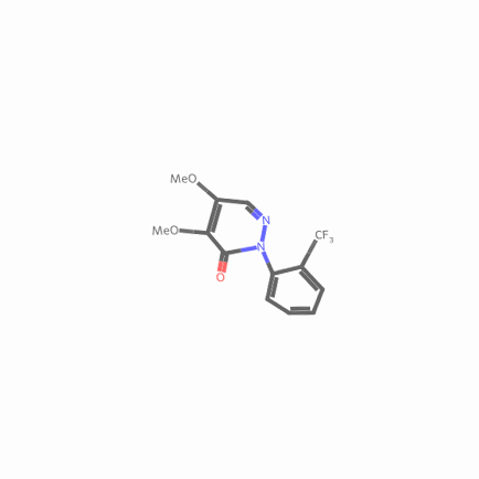 COc1cnn(-c2ccccc2C(F)(F)F)c(=O)c1OC